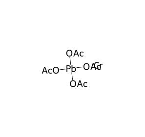 CC(=O)[O][Pb]([O]C(C)=O)([O]C(C)=O)[O]C(C)=O.[Cr]